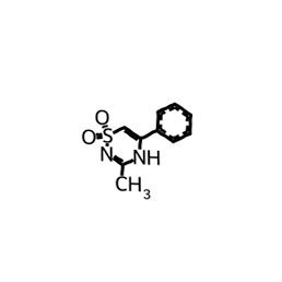 CC1=NS(=O)(=O)C=C(c2ccccc2)N1